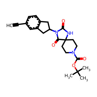 C#Cc1ccc2c(c1)CC(N1C(=O)NC3(CCN(C(=O)OC(C)(C)C)CC3)C1=O)C2